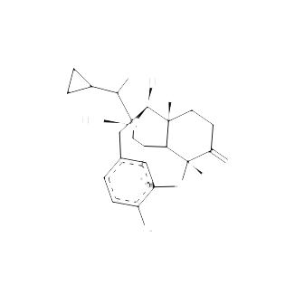 C[N@+]1(C(O)C2CC2)C[C@@H](O)[C@]23c4c5ccc(O)c4O[C@H]2C(=O)CC[C@@]3(O)[C@H]1C5